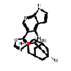 OC12CC3C[C@H](C1)C(Nc1c(-c4nnco4)cnc4[nH]ccc14)[C@@H](C3)C2